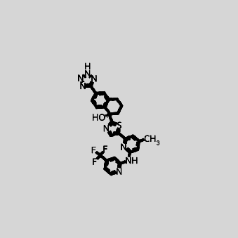 Cc1cc(Nc2cc(C(F)(F)F)ccn2)nc(-c2cnc([C@@]3(O)CCCc4cc(-c5nn[nH]n5)ccc43)s2)c1